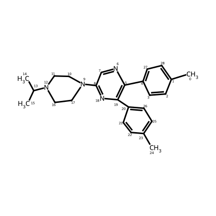 Cc1ccc(-c2ncc(N3CCN(C(C)C)CC3)nc2-c2ccc(C)cc2)cc1